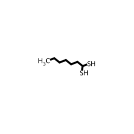 CCCCCCC(S)S